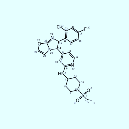 CS(=O)(=O)N1CCC(Nc2nccc(C3C(c4ccc(F)cc4Cl)N=C4OC=CN43)n2)CC1